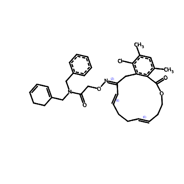 Cc1cc(C)c2c(c1Cl)CC(=N/OCC(=O)N(CC1=CC=CCC1)Cc1ccccc1)/C=C/CC/C=C/CCOC2=O